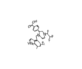 COc1cc(C)c2[nH]ccc2c1CN1CCN(C(F)C(F)F)CC1c1ccc(C(=O)O)cc1